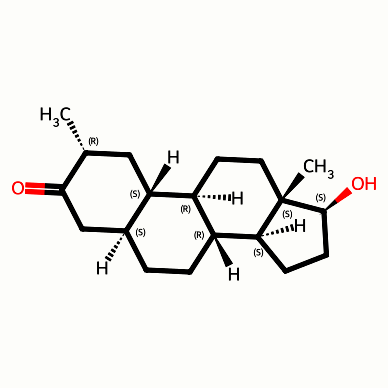 C[C@@H]1C[C@H]2[C@@H](CC[C@@H]3[C@@H]2CC[C@]2(C)[C@@H](O)CC[C@@H]32)CC1=O